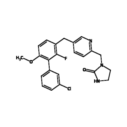 COc1ccc(Cc2ccc(CN3CCNC3=O)nc2)c(F)c1-c1cccc(Cl)c1